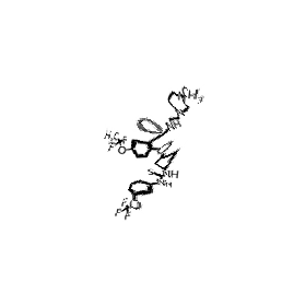 CN1CCN(CCNC(=O)c2cc(OC(C)(F)F)ccc2OC2CCC(NC(=S)Nc3cccc(OC(F)(F)F)c3)C2)CC1